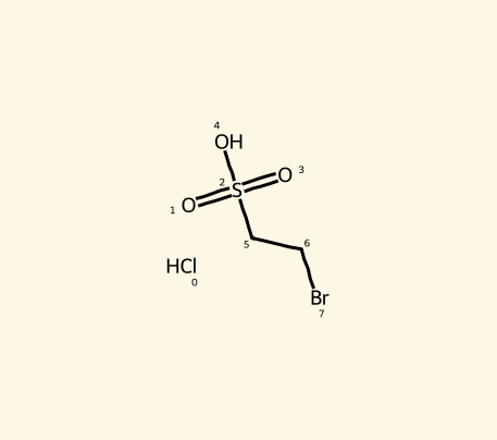 Cl.O=S(=O)(O)CCBr